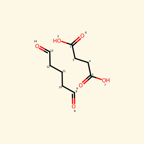 O=C(O)CCC(=O)O.O=CCCCC=O